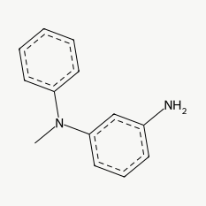 CN(c1ccccc1)c1cccc(N)c1